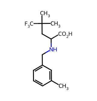 Cc1cccc(CNC(CC(C)(C)C(F)(F)F)C(=O)O)c1